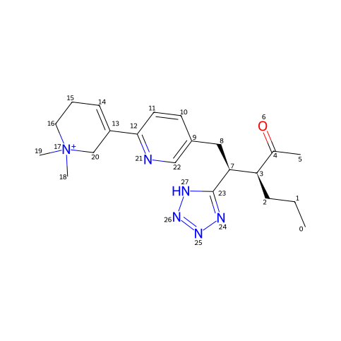 CCC[C@H](C(C)=O)[C@H](Cc1ccc(C2=CCC[N+](C)(C)C2)nc1)c1nnn[nH]1